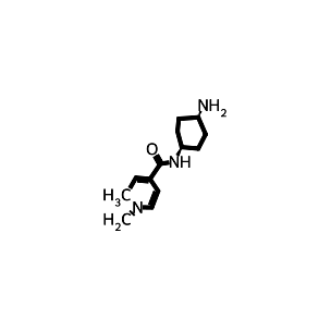 C=N/C=C\C(=C/C)C(=O)N[C@H]1CC[C@H](N)CC1